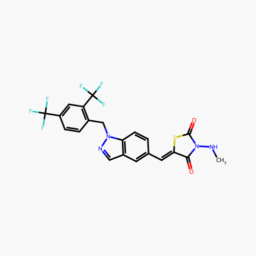 CNN1C(=O)S/C(=C\c2ccc3c(cnn3Cc3ccc(C(F)(F)F)cc3C(F)(F)F)c2)C1=O